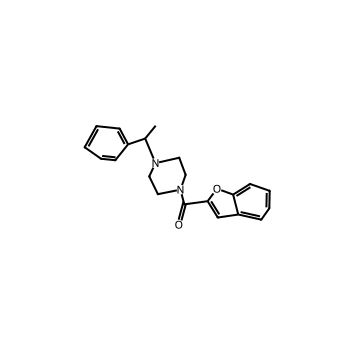 CC(c1ccccc1)N1CCN(C(=O)c2cc3ccccc3o2)CC1